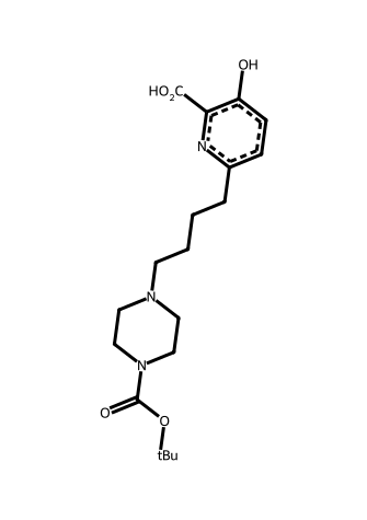 CC(C)(C)OC(=O)N1CCN(CCCCc2ccc(O)c(C(=O)O)n2)CC1